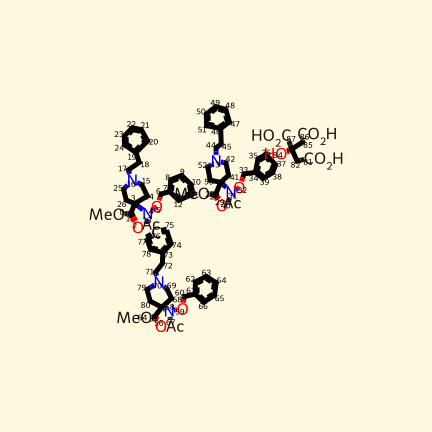 COC(=O)C1(N(OCc2ccccc2)C(C)=O)CCN(CCc2ccccc2)CC1.COC(=O)C1(N(OCc2ccccc2)C(C)=O)CCN(CCc2ccccc2)CC1.COC(=O)C1(N(OCc2ccccc2)C(C)=O)CCN(CCc2ccccc2)CC1.O=C(O)CC(O)(CC(=O)O)C(=O)O